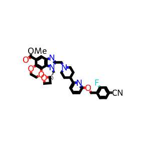 COC(=O)c1cc2nc(CN3CCC(c4cccc(OCc5ccc(C#N)cc5F)n4)CC3)n(C[C@@H]3CCO3)c2c2c1OCCO2